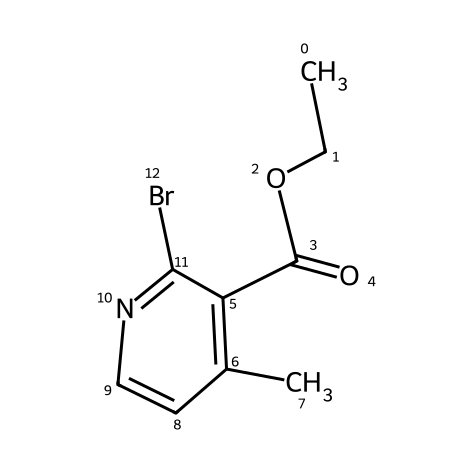 CCOC(=O)c1c(C)ccnc1Br